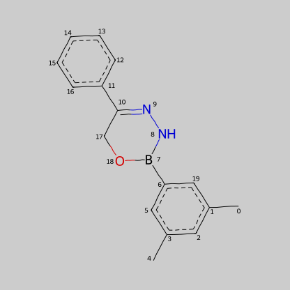 Cc1cc(C)cc(B2NN=C(c3ccccc3)CO2)c1